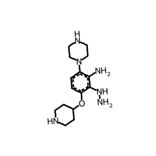 NNc1c(OC2CCNCC2)ccc(N2CCNCC2)c1N